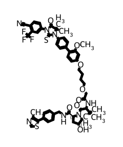 COc1cc(OCCCCOCC(=O)NC(C(=O)N2C[C@H](O)C[C@H]2C(=O)NCc2ccc(-c3scnc3C)cc2)C(C)(C)C)ccc1-c1ccc(N2C(=S)N(c3ccc(C#N)c(C(F)(F)F)c3)C(=O)C2(C)C)cc1